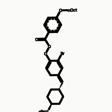 CCCCCCCCOc1ccc(C(=O)OOC2=CCC(=C[C@H]3CC[C@H](CCCCC)CC3)C=C2Br)cc1